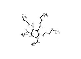 CCCCOC1[C@H](OCCCC)C(CO)O[C@@H](OP)[C@H]1OCCCC